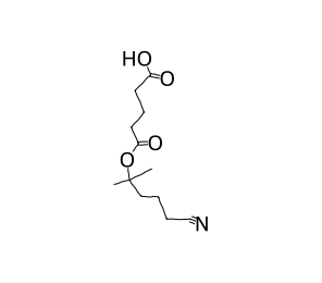 CC(C)(CCCC#N)OC(=O)CCCC(=O)O